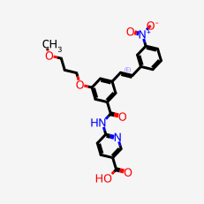 COCCCOc1cc(/C=C/c2cccc([N+](=O)[O-])c2)cc(C(=O)Nc2ccc(C(=O)O)cn2)c1